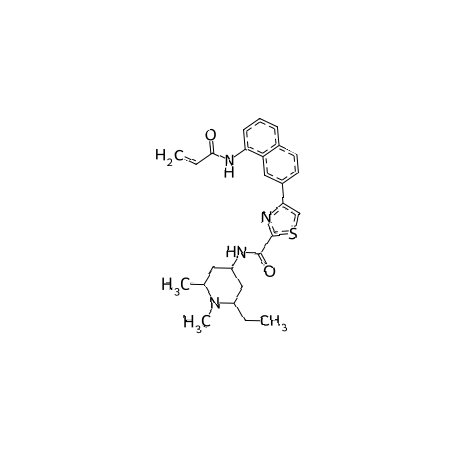 C=CC(=O)Nc1cccc2ccc(-c3csc(C(=O)NC4CC(C)N(C)C(CC)C4)n3)cc12